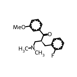 COc1cccc(C(=O)[C@@H](Cc2ccccc2F)CN(C)C)c1